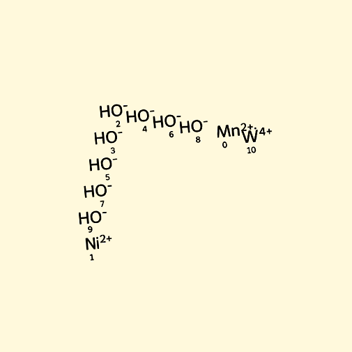 [Mn+2].[Ni+2].[OH-].[OH-].[OH-].[OH-].[OH-].[OH-].[OH-].[OH-].[W+4]